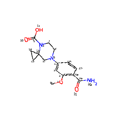 COc1cc(N2CCN(C(=O)O)C3(CC3)C2)ccc1C(N)=O